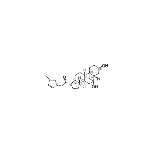 Cc1ccn(CC(=O)[C@H]2CC[C@H]3[C@@H]4CC[C@H]5C[C@H](O)CC[C@]5(CCO)[C@H]4CC[C@]23C)c1